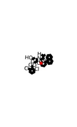 CC(C)[C@H](NC1(c2cccc3ccccc23)CCCCO1)C(=O)N[C@@H](CC(=O)O)C(=O)COC(=O)c1c(Cl)cccc1Cl